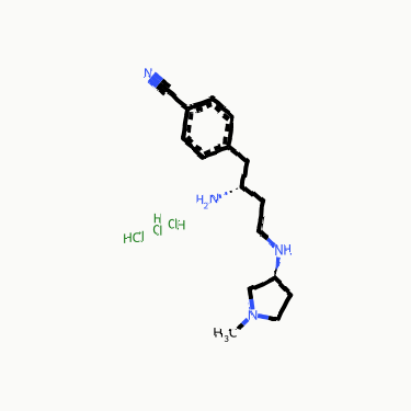 CN1CC[C@H](NCC[C@H](N)Cc2ccc(C#N)cc2)C1.Cl.Cl.Cl